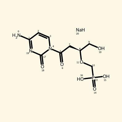 Nc1ccn(C(=O)C[C@@H](CO)OCP(=O)(O)O)c(=O)n1.[NaH]